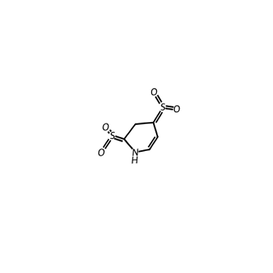 O=S(=O)=C1C=CNC(=S(=O)=O)C1